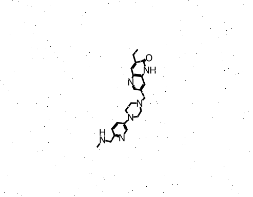 CCc1cc2ncc(CN3CCN(c4ccc(CNC)nc4)CC3)cc2[nH]c1=O